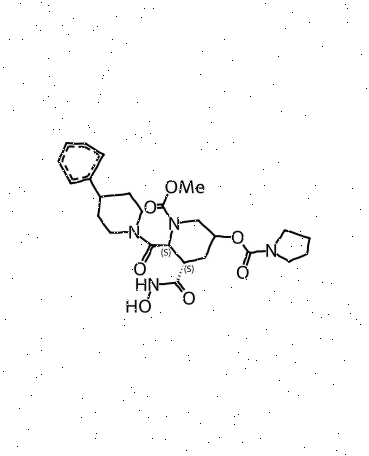 COC(=O)N1CC(OC(=O)N2CCCC2)C[C@H](C(=O)NO)[C@H]1C(=O)N1CCC(c2ccccc2)CC1